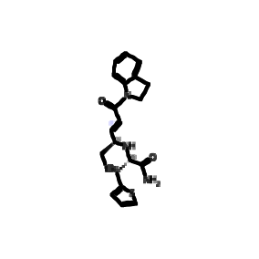 CC(C)(C)C[C@@H](/C=C/C(=O)N1CCc2ccccc21)N[C@@H](Cc1cccs1)C(N)=O